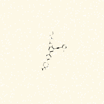 CCNC(=O)Nc1nc2cc(-c3cnc(N4CCC(C)(C(=O)O)CC4)nc3)cc(C#Cc3cncn3C)c2s1